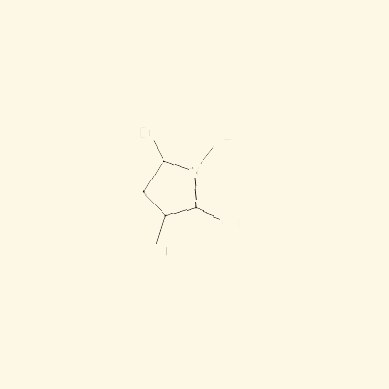 CCC1CC(C)C(C)N1C